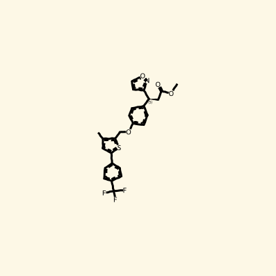 COC(=O)C[C@@H](c1ccc(OCc2sc(-c3ccc(C(F)(F)F)cc3)cc2C)cc1)c1ccon1